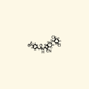 C[S+]([O-])c1ccc(CC(=O)Nc2sc3c(c2C#N)CCN(Cc2cc(Cl)ccc2Cl)C3)cc1